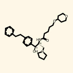 O=C(CCCCOC1CCOCC1)N[C@H](CN1CCCC1)[C@@H](O)c1ccc(CCc2ccccc2)cc1